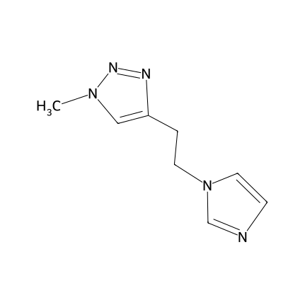 Cn1cc(CCn2ccnc2)nn1